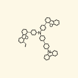 C=Cc1cccc2c1oc1c(-c3ccc(N(c4ccc(-c5ccc(-n6c7ccccc7c7ccccc76)cc5)cc4)c4ccc(-c5cccc6c5oc5ccccc56)cc4)cc3)cccc12